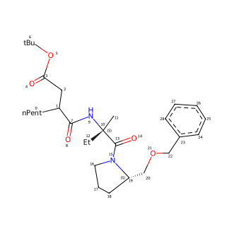 CCCCCC(CC(=O)OC(C)(C)C)C(=O)N[C@@](C)(CC)C(=O)N1CCC[C@H]1COCc1ccccc1